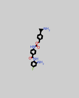 Nc1cc(F)ccc1NC(=O)c1ccc(NC(=O)OCc2ccc(C3C[C@@H]3N)cc2)cc1